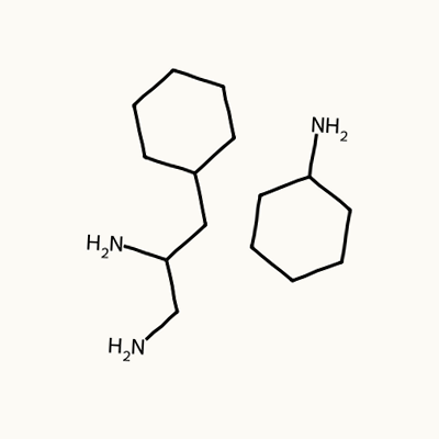 NC1CCCCC1.NCC(N)CC1CCCCC1